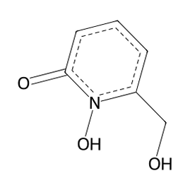 O=c1cccc(CO)n1O